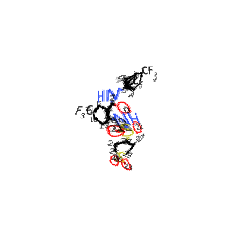 O=C(NC12CCC(C(F)(F)F)(CC1)CC2)c1cc(C(F)(F)F)ccc1NS(=O)(=O)C1CCS(=O)(=O)CC1